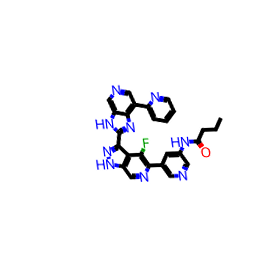 CCCC(=O)Nc1cncc(-c2ncc3[nH]nc(-c4nc5c(-c6ccccn6)cncc5[nH]4)c3c2F)c1